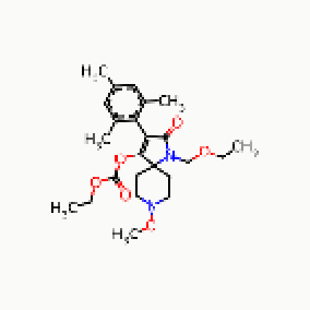 CCOCN1C(=O)C(c2c(C)cc(C)cc2C)=C(OC(=O)OCC)C12CCN(OC)CC2